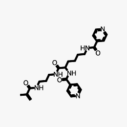 C=C(C)C(=O)NCCCNC(=O)C(CCCCNC(=O)c1ccncc1)NC(=O)c1ccncc1